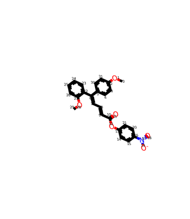 COc1ccc(/C(=C\C=C\C(=O)Oc2ccc([N+](=O)[O-])cc2)c2ccccc2OC)cc1